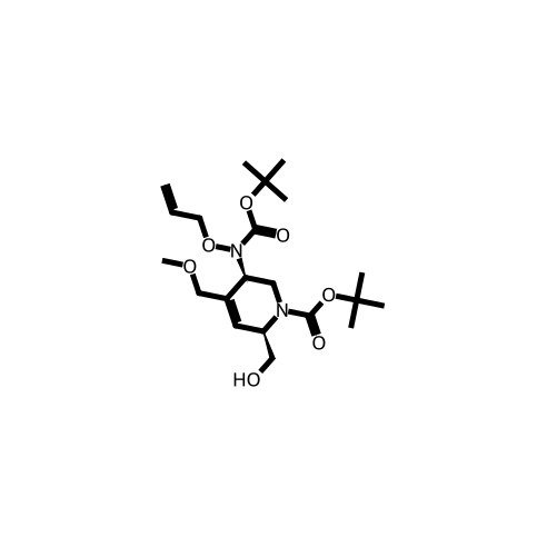 C=CCON(C(=O)OC(C)(C)C)[C@H]1CN(C(=O)OC(C)(C)C)[C@@H](CO)C=C1COC